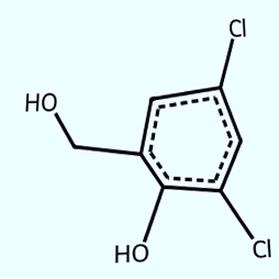 OCc1cc(Cl)cc(Cl)c1O